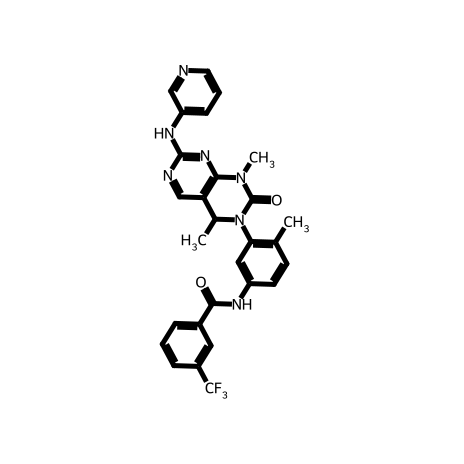 Cc1ccc(NC(=O)c2cccc(C(F)(F)F)c2)cc1N1C(=O)N(C)c2nc(Nc3cccnc3)ncc2C1C